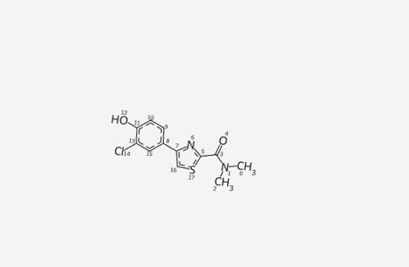 CN(C)C(=O)c1nc(-c2ccc(O)c(Cl)c2)cs1